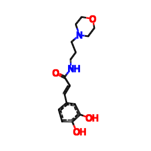 O=C(C=Cc1ccc(O)c(O)c1)NCCCN1CCOCC1